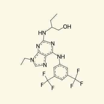 CCC(CO)Nc1nc(Nc2cc(C(F)(F)F)cc(C(F)(F)F)c2)c2ncn(CC)c2n1